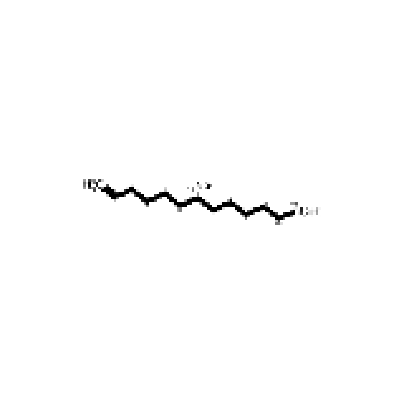 C=CCCCCCCCCCCCCCCCCCC.[Na]